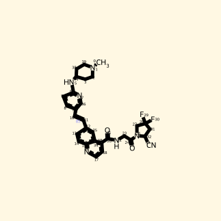 CN1CCC(Nc2ccc(/C=C/c3ccc4nccc(C(=O)NCC(=O)N5CC(F)(F)CC5C#N)c4c3)cn2)CC1